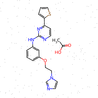 CC(=O)O.c1cc(Nc2nccc(-c3cccs3)n2)cc(OCCn2ccnc2)c1